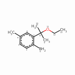 Bc1ccc(C)cc1C(C)(C)OCC